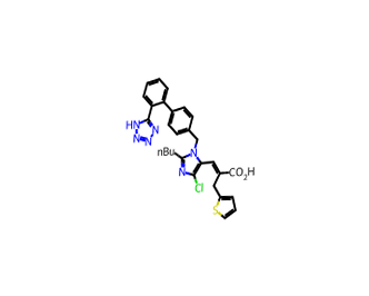 CCCCc1nc(Cl)c(/C=C(\Cc2cccs2)C(=O)O)n1Cc1ccc(-c2ccccc2-c2nnn[nH]2)cc1